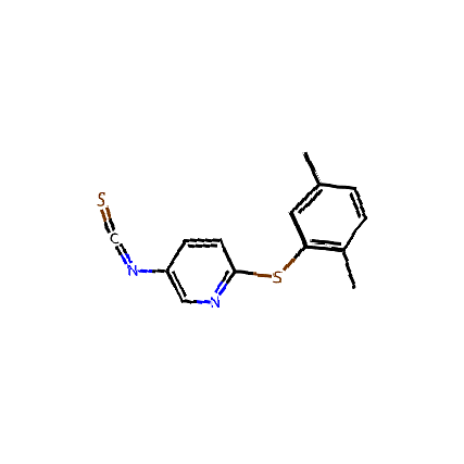 Cc1ccc(C)c(Sc2ccc(N=C=S)cn2)c1